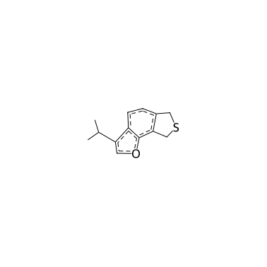 CC(C)c1coc2c3c(ccc12)CSC3